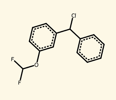 FC(F)Oc1cccc(C(Cl)c2ccccc2)c1